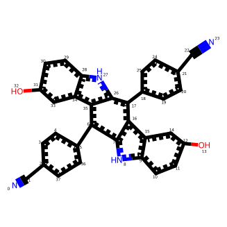 N#Cc1ccc(-c2c3[nH]c4ccc(O)cc4c3c(-c3ccc(C#N)cc3)c3[nH]c4ccc(O)cc4c23)cc1